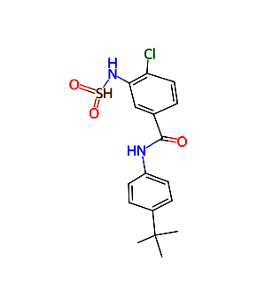 CC(C)(C)c1ccc(NC(=O)c2ccc(Cl)c(N[SH](=O)=O)c2)cc1